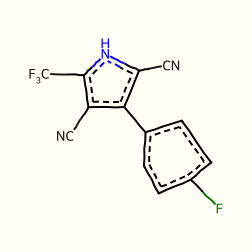 N#Cc1[nH]c(C(F)(F)F)c(C#N)c1-c1ccc(F)cc1